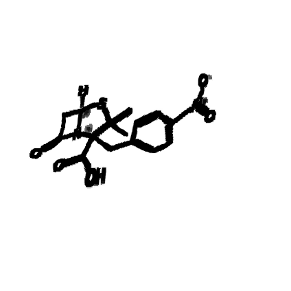 CC1(C)S[C@@H]2CC(=O)N2[C@@]1(Cc1ccc([N+](=O)[O-])cc1)C(=O)O